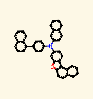 c1ccc2cc(N(c3ccc(-c4cccc5ccccc45)cc3)c3ccc4c(c3)oc3ccc5ccccc5c34)ccc2c1